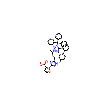 CCCCc1nc(-c2sccc2C(=O)OC)cn1Cc1ccc(-c2ccccc2-c2nnnn2C(c2ccccc2)(c2ccccc2)c2ccccc2)cc1